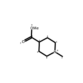 [CH2]OC(=O)C1CCN(C)CC1